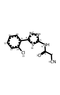 N#CCC(=O)Nc1nnc(-c2ccccc2Cl)s1